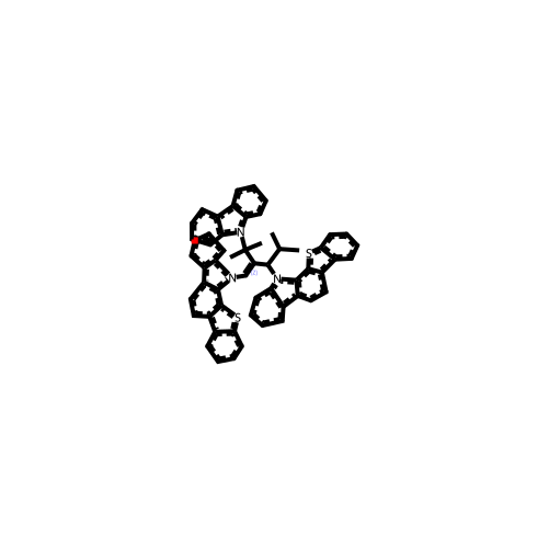 CC(C)C(/C(=C/n1c2ccccc2c2ccc3c4ccccc4sc3c21)C(C)(C)n1c2ccccc2c2ccccc21)n1c2ccccc2c2ccc3c4ccccc4sc3c21